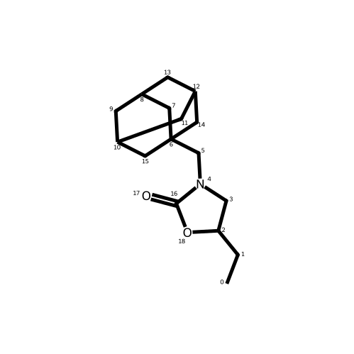 CCC1CN(CC23CC4CC(CC(C4)C2)C3)C(=O)O1